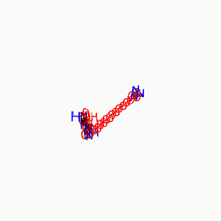 CC[C@H](C)C([C@@H](CC(=O)N1CCC[C@H]1[C@H](OC)[C@@H](C)C(=O)N[C@@H](Cc1ccccc1)C(=O)O)OC)N(C)C(=O)[C@@H](NC(=O)[C@H](C(C)C)N(C)OCCCOCCOCCOCCOCCOCCOCCOCCOCCOCCOCCOCCOCCN1C(=O)C(Sc2ccccn2)=C(Sc2ccccn2)C1=O)C(C)C